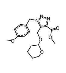 COC(=O)c1nnn(Cc2ccc(OC)cc2)c1COC1CCCCO1